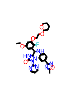 CCOc1cc(OCCOC2CCCCO2)c(F)c(C(Nc2ccc(-c3noc(C)n3)cc2)c2nn(-c3ncccn3)c(=O)[nH]2)c1